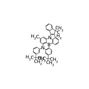 Cc1cc2c3c(c1)-n1c4c(c5cccc(c51)B3c1ccc(C(C)(C)C)cc1N2c1cccc(C(C)(C)C)c1)C(C)(C)c1ccccc1-4